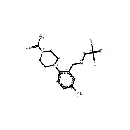 Nc1ccc(N2CCN(C(=O)O)CC2)c(CNCC(F)(F)F)c1